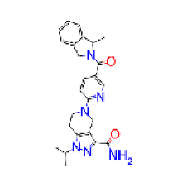 CC1c2ccccc2CN1C(=O)c1ccc(N2CCc3c(c(C(N)=O)nn3C(C)C)C2)nc1